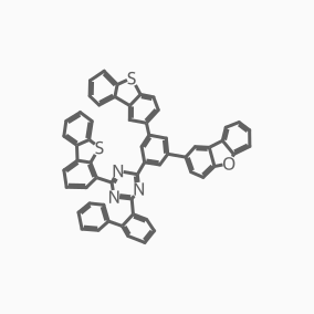 c1ccc(-c2ccccc2-c2nc(-c3cc(-c4ccc5oc6ccccc6c5c4)cc(-c4ccc5sc6ccccc6c5c4)c3)nc(-c3cccc4c3sc3ccccc34)n2)cc1